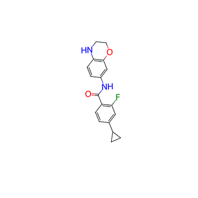 O=C(Nc1ccc2c(c1)OCCN2)c1ccc(C2CC2)cc1F